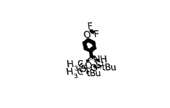 CC(C)(C)[S@@+]([O-])N[C@H](CO[Si](C)(C)C(C)(C)C)c1ccc(OC(F)F)cc1